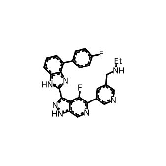 CCNCc1cncc(-c2ncc3[nH]nc(-c4nc5c(-c6ccc(F)cc6)cccc5[nH]4)c3c2F)c1